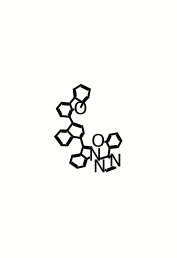 c1ccc2c(c1)Oc1c(-c3ccc(-c4cccc5c4oc4ccccc45)c4ccccc34)c3ccccc3n1-c1nccnc1-2